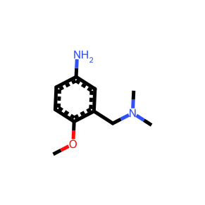 COc1ccc(N)cc1CN(C)C